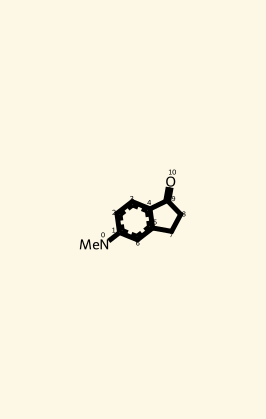 CNc1ccc2c(c1)CCC2=O